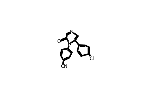 N#Cc1ccc(-n2c(-c3ccc(Cl)cc3)cncc2=O)cc1